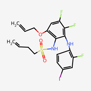 C=CCCS(=O)(=O)Nc1c(OCC=C)cc(F)c(F)c1Nc1ccc(I)cc1F